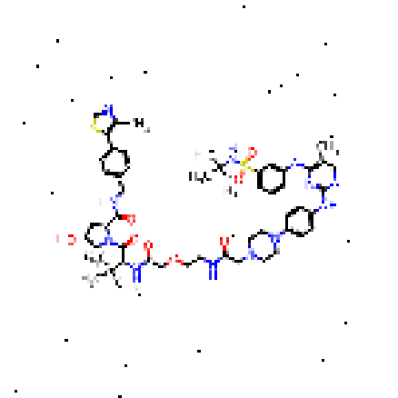 Cc1cnc(Nc2ccc(N3CCN(CC(=O)NCCOCC(=O)N[C@H](C(=O)N4C[C@H](O)C[C@H]4C(=O)NCc4ccc(-c5scnc5C)cc4)C(C)(C)C)CC3)cc2)nc1Nc1cccc(S(=O)(=O)NC(C)(C)C)c1